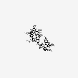 Cc1ncsc1-c1ccc([C@H](C)NC(=O)[C@@H]2C[C@@H](O)CN2C(=O)[C@@H](NC(=O)[C@@H](C)N2CCC(O[C@H]3C[C@H](NC(=O)C[C@@H]4N=C(c5ccc(Cl)cc5)c5c(sc(C)c5C)-n5c(C)nnc54)C3)CC2)C(C)(C)C)cc1